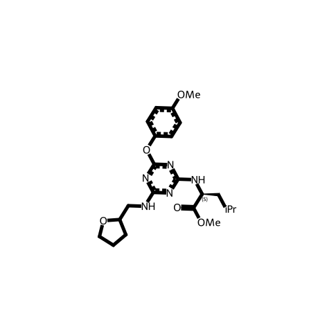 COC(=O)[C@H](CC(C)C)Nc1nc(NCC2CCCO2)nc(Oc2ccc(OC)cc2)n1